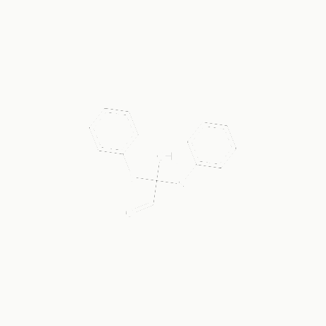 CC(C=O)(Sc1ccccc1)Sc1ccccc1